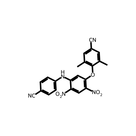 Cc1cc(C#N)cc(C)c1Oc1cc(Nc2ccc(C#N)cc2)c([N+](=O)[O-])cc1[N+](=O)[O-]